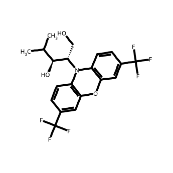 CC(C)[C@H](O)[C@H](CO)N1c2ccc(C(F)(F)F)cc2Oc2cc(C(F)(F)F)ccc21